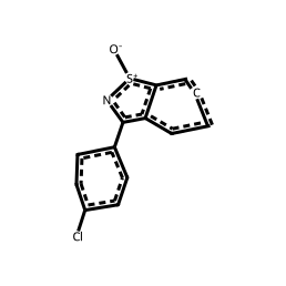 [O-][s+]1nc(-c2ccc(Cl)cc2)c2ccccc21